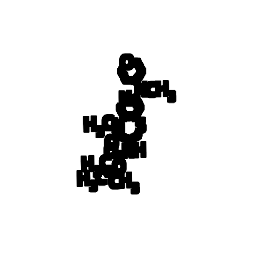 CN1C(=O)[C@@H](NC(=O)OC(C)(C)C)CSc2cc(N(C)C3CCOCC3)ncc21